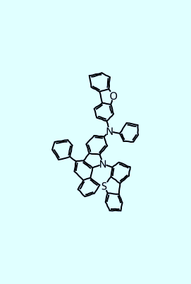 c1ccc(-c2cc3ccccc3c3c2c2ccc(N(c4ccccc4)c4ccc5c(c4)oc4ccccc45)cc2n3-c2cccc3c2sc2ccccc23)cc1